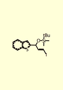 CC(C)(C)[Si](C)(C)OC(/C=C/I)c1cc2ccccc2s1